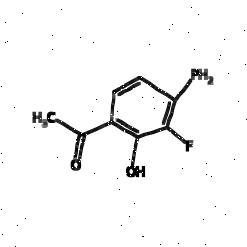 CC(=O)c1ccc(P)c(F)c1O